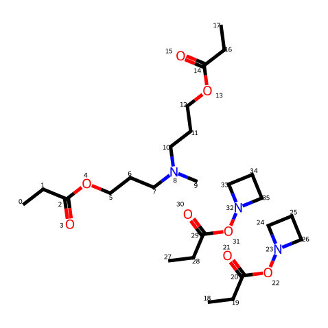 CCC(=O)OCCCN(C)CCCOC(=O)CC.CCC(=O)ON1CCC1.CCC(=O)ON1CCC1